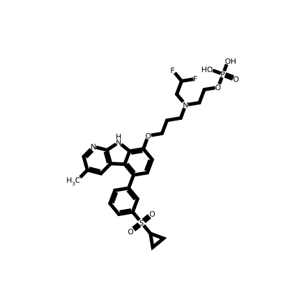 Cc1cnc2[nH]c3c(OCCCN(CCOP(=O)(O)O)CC(F)F)ccc(-c4cccc(S(=O)(=O)C5CC5)c4)c3c2c1